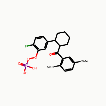 COc1ccc(OC)c(C(=O)C2CCCCC2c2ccc(F)c(OOP(=O)(O)O)c2)c1